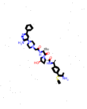 C#CS/C(=C(/C)N)c1ccc([C@H](C)NC(=O)[C@@H]2C[C@@H](O)CN2C(=O)[C@@H](NC(=O)CN2CCN(c3cc(-c4ccccc4)nnc3N)CC2)C(C)(C)C)cc1